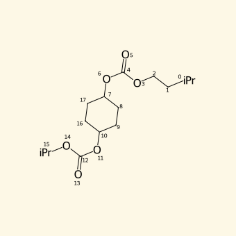 CC(C)CCOC(=O)OC1CCC(OC(=O)OC(C)C)CC1